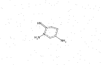 N=c1ccc(N)cn1N